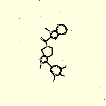 Cn1nc2c(c1-c1cc(F)c(F)c(F)c1)CCN(C(=O)c1cc3cccnc3n1C)C2